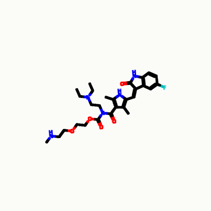 CCN(CC)CCN(C(=O)OCCOCCNC)C(=O)c1c(C)[nH]c(/C=C2\C(=O)Nc3ccc(F)cc32)c1C